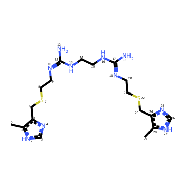 Cc1[nH]cnc1CSCCN=C(N)NCCNC(N)=NCCSCc1nc[nH]c1C